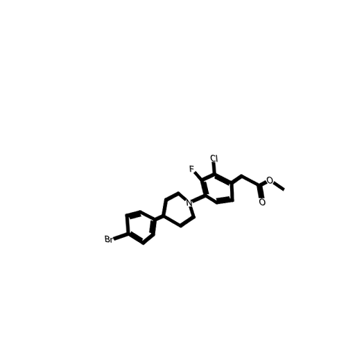 COC(=O)Cc1ccc(N2CCC(c3ccc(Br)cc3)CC2)c(F)c1Cl